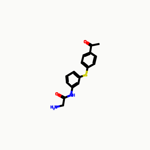 CC(=O)c1ccc(Sc2cccc(NC(=O)CN)c2)cc1